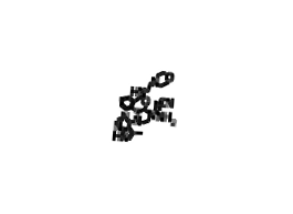 Cc1c[nH]c2ncnc(N3CCN(C(N)=NC#N)C(C)[C@@H]3c3ccccc3C(=O)NCCN3CCOCC3)c12